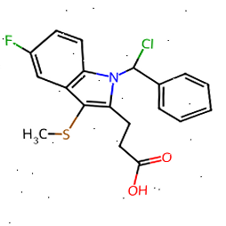 CSc1c(CCC(=O)O)n(C(Cl)c2ccccc2)c2ccc(F)cc12